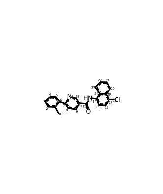 Cc1ccccc1-c1ccc(C(=O)Nc2ccc(Cl)c3ccccc23)cn1